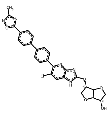 Cc1noc(-c2ccc(-c3ccc(-c4nc5nc(O[C@@H]6COC7C6OC[C@H]7O)[nH]c5cc4Cl)cc3)cc2)n1